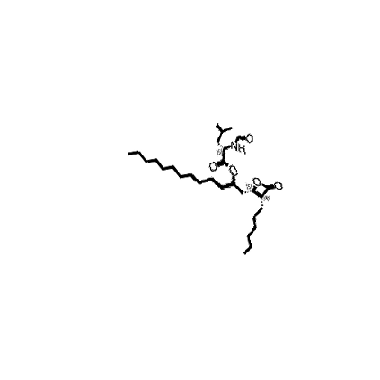 CCCCCCCCCCCC(C[C@@H]1OC(=O)[C@@H]1CCCCCC)OC(=O)[C@H](CC(C)C)NC=O